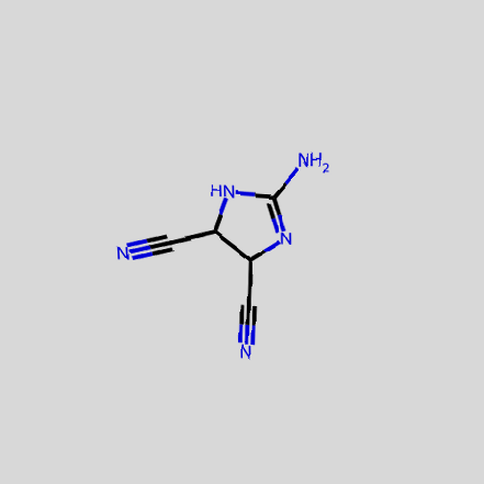 N#CC1N=C(N)NC1C#N